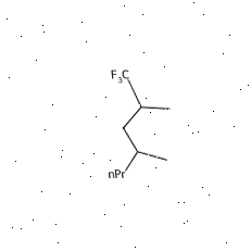 CCCC(C)CC(C)C(F)(F)F